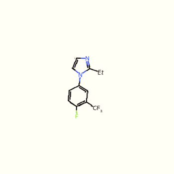 CCc1n[c]cn1-c1ccc(F)c(C(F)(F)F)c1